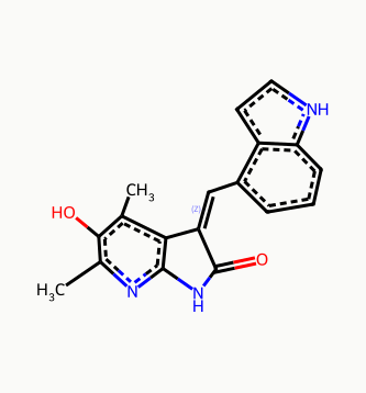 Cc1nc2c(c(C)c1O)/C(=C/c1cccc3[nH]ccc13)C(=O)N2